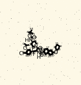 CC(C)Oc1cc(C(F)(F)C(NS(=O)(=O)c2ccc3cc(OC4CCCC4)ccc3c2)C(=O)N2CCC(NC(=O)OC(C)(C)C)CC2)ccc1Cl